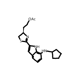 CC(=O)OCC[C@@H]1CSC(c2cc3cccc(NC4CCCC4)c3[nH]2)=N1